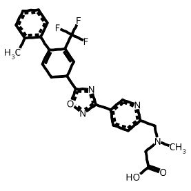 Cc1ccccc1C1=CCC(c2nc(-c3ccc(CN(C)CC(=O)O)nc3)no2)C=C1C(F)(F)F